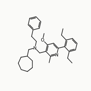 CCc1cccc(CC)c1-c1cc(OC)c(CN(CCc2ccccc2)CC2CCCCCC2)c(C)n1